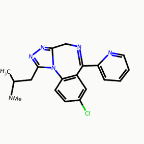 CNC(C)Cc1nnc2n1-c1ccc(Cl)cc1C(c1ccccn1)=NC2